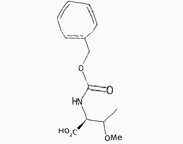 COC(C)[C@H](NC(=O)OCc1ccccc1)C(=O)O